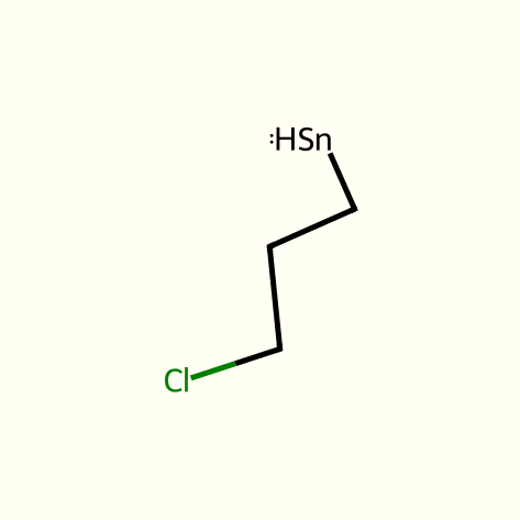 ClCC[CH2][SnH]